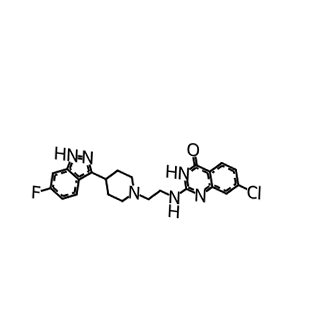 O=c1[nH]c(NCCN2CCC(c3n[nH]c4cc(F)ccc34)CC2)nc2cc(Cl)ccc12